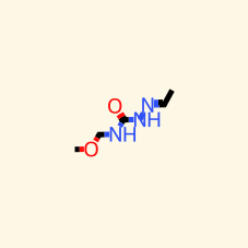 CC=NNC(=O)NCOC